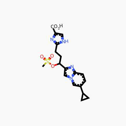 CS(=O)(=O)OC(CCc1nc(C(=O)O)c[nH]1)c1cn2cc(C3CC3)ccc2n1